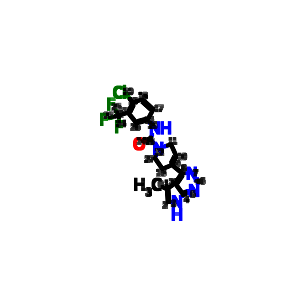 Cc1c[nH]c2ncnc(C3=CCN(C(=O)Nc4ccc(Cl)c(C(F)(F)F)c4)CC3)c12